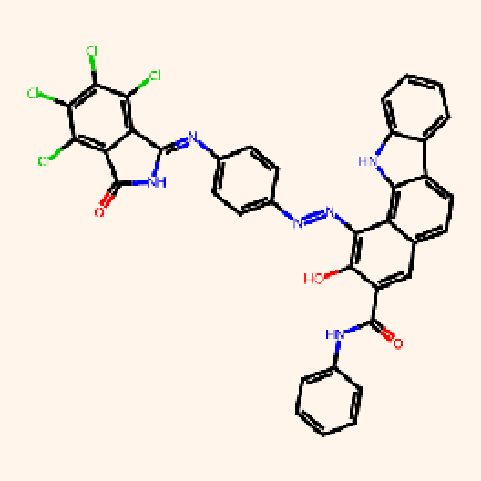 O=C(Nc1ccccc1)c1cc2ccc3c4ccccc4[nH]c3c2c(N=Nc2ccc(/N=C3\NC(=O)c4c(Cl)c(Cl)c(Cl)c(Cl)c43)cc2)c1O